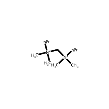 CCC[N+](C)(C)C[N+](C)(C)CCC